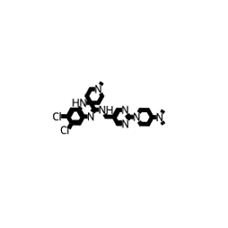 CN1CCC2(CC1)Nc1cc(Cl)c(Cl)cc1N=C2NCc1cnc(N2CCC(N(C)C)CC2)nc1